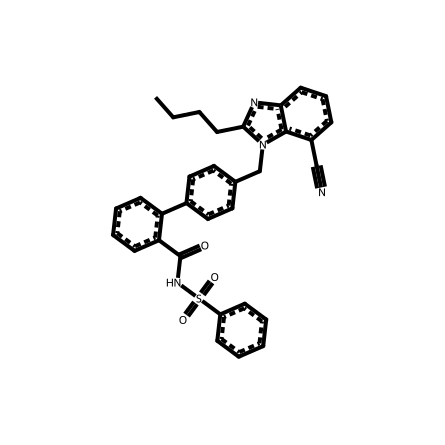 CCCCc1nc2cccc(C#N)c2n1Cc1ccc(-c2ccccc2C(=O)NS(=O)(=O)c2ccccc2)cc1